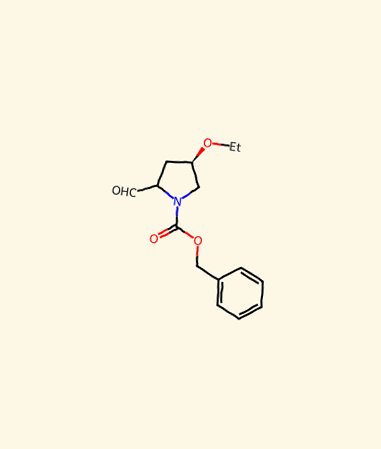 CCO[C@@H]1CC(C=O)N(C(=O)OCc2ccccc2)C1